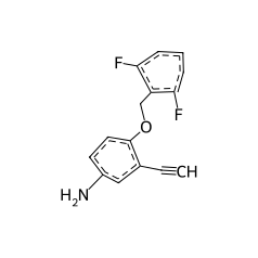 C#Cc1cc(N)ccc1OCc1c(F)cccc1F